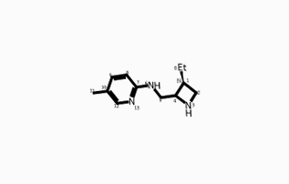 CC[C@H]1CNC1CNc1ccc(C)cn1